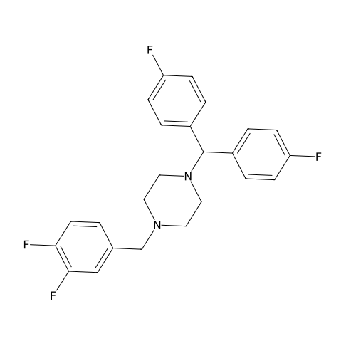 Fc1ccc(C(c2ccc(F)cc2)N2CCN(Cc3ccc(F)c(F)c3)CC2)cc1